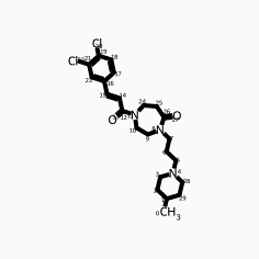 CC1CCN(CCCN2CCN(C(=O)C=Cc3ccc(Cl)c(Cl)c3)CCC2=O)CC1